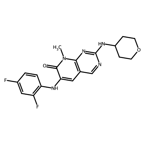 Cn1c(=O)c(Nc2ccc(F)cc2F)cc2cnc(NC3CCOCC3)nc21